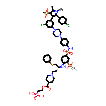 Cc1c(S(C)(=O)=O)c(-c2cc(F)cc(N3CCN(c4ccc(NS(=O)(=O)c5ccc(N[C@H](CCN6CCC(C(=O)OCCP(=O)(O)O)CC6)CSc6ccccc6)c(S(=O)(=O)C(F)(F)F)c5)cc4)CC3)c2)c(-c2ccc(Cl)cc2)n1C(C)C